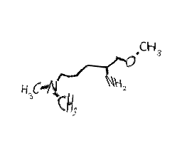 COCC(N)CCCN(C)C